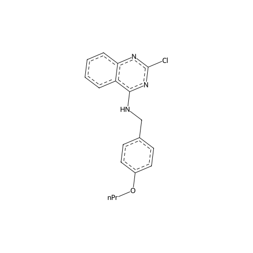 CCCOc1ccc(CNc2nc(Cl)nc3ccccc23)cc1